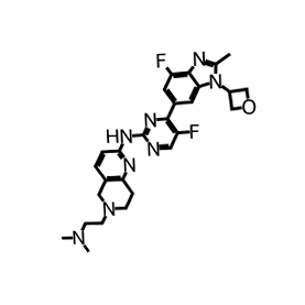 Cc1nc2c(F)cc(-c3nc(Nc4ccc5c(n4)CCN(CCN(C)C)C5)ncc3F)cc2n1C1COC1